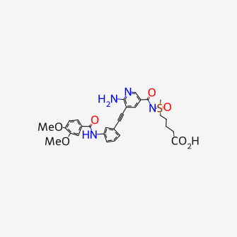 COc1ccc(C(=O)Nc2cccc(C#Cc3cc(C(=O)N=S(C)(=O)CCCCC(=O)O)cnc3N)c2)cc1OC